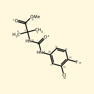 COC(=O)C(C)(C)NC(=O)Nc1ccc(F)c(Cl)c1